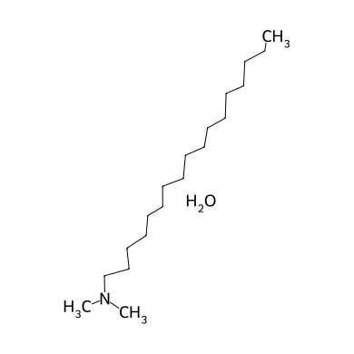 CCCCCCCCCCCCCCCCCN(C)C.O